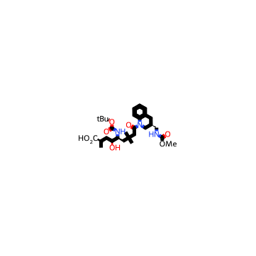 COC(=O)NC[C@H]1Cc2ccccc2N(C(=O)CC(C)(C)C[C@H](NC(=O)OC(C)(C)C)[C@@H](O)C[C@@H](C)C(=O)O)C1